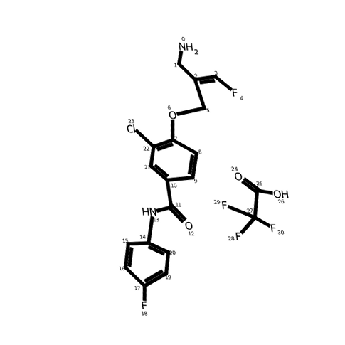 NC/C(=C/F)COc1ccc(C(=O)Nc2ccc(F)cc2)cc1Cl.O=C(O)C(F)(F)F